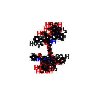 C[C@@H]1O[C@@H](O[C@@H]2[C@@H](NC(=O)c3ccccc3)CCC[C@H]2O[C@@H]2O[C@H](CO)[C@H](O)[C@H](O[C@@H](CC3CCCCC3)C(=O)O)[C@H]2NC(=O)COCCOCC(=O)N[C@@H]2[C@@H](O[C@@H](CC3CCCCC3)C(=O)O)C[C@@H](CO)O[C@H]2C2CCC[C@H](NC(=O)c3ccccc3)[C@H]2O[C@@H]2O[C@@H](C)[C@@H](O)[C@@H](O)[C@@H]2O)[C@@H](O)[C@H](O)[C@@H]1O